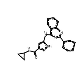 O=C(NC1CC1)c1cc(Nc2nc(-c3ccccc3)nc3ccccc23)[nH]n1